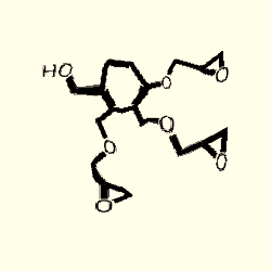 OCc1ccc(OCC2CO2)c(COCC2CO2)c1COCC1CO1